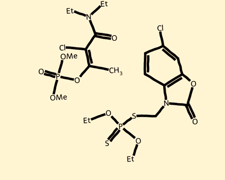 CCN(CC)C(=O)/C(Cl)=C(\C)OP(=O)(OC)OC.CCOP(=S)(OCC)SCn1c(=O)oc2cc(Cl)ccc21